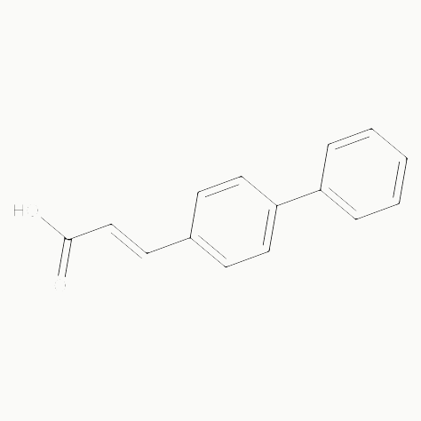 O=C(O)/C=C/c1ccc(-c2c[c]ccc2)cc1